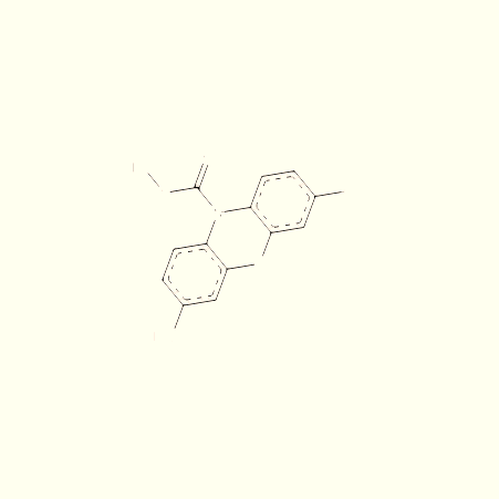 CCSC(=O)N1c2ccc(C(F)(F)F)cc2Sc2cc(C(F)(F)F)ccc21